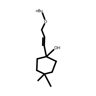 CCCCOCC=CC1(O)CCC(C)(C)CC1